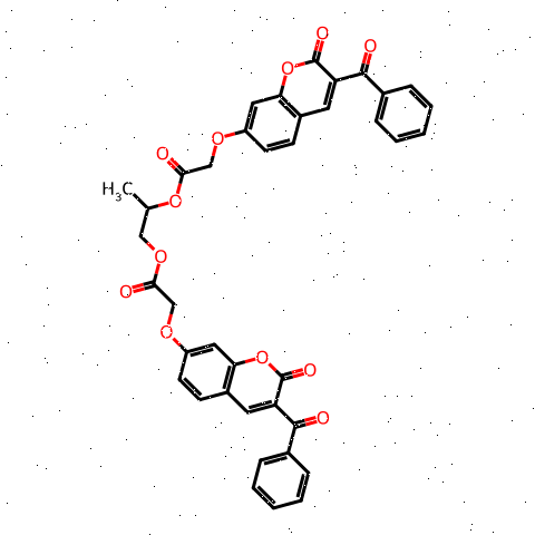 CC(COC(=O)COc1ccc2cc(C(=O)c3ccccc3)c(=O)oc2c1)OC(=O)COc1ccc2cc(C(=O)c3ccccc3)c(=O)oc2c1